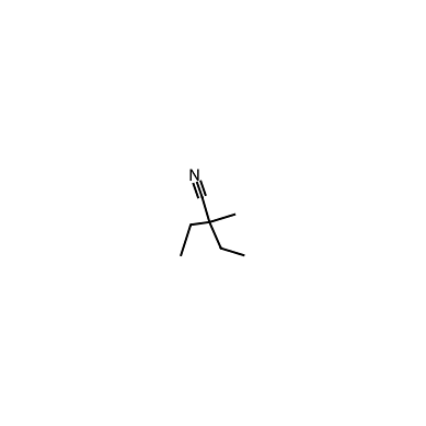 CCC(C)(C#N)CC